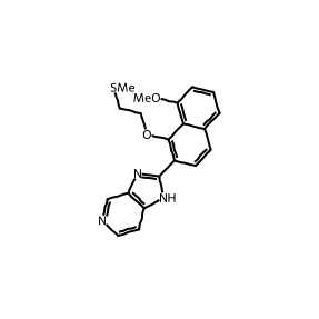 COc1cccc2ccc(-c3nc4cnccc4[nH]3)c(OCCSC)c12